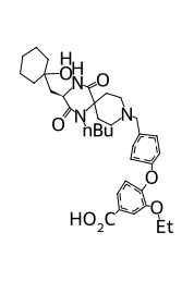 CCCCN1C(=O)[C@@H](CC2(O)CCCCC2)NC(=O)C12CCN(Cc1ccc(Oc3ccc(C(=O)O)cc3OCC)cc1)CC2